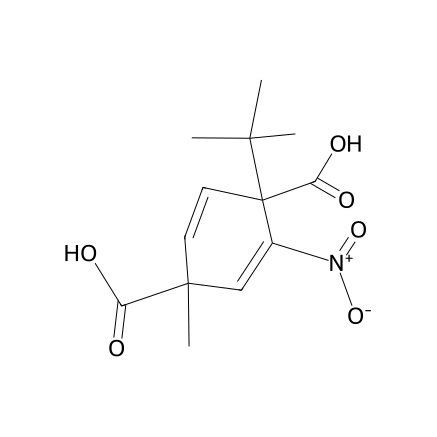 CC1(C(=O)O)C=CC(C(=O)O)(C(C)(C)C)C([N+](=O)[O-])=C1